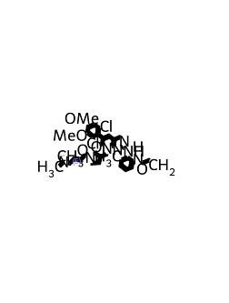 C=CC(=O)Nc1cccc(C)c1Nc1ncc2cc(-c3c(Cl)c(OC)cc(OC)c3Cl)c(=O)n(CC3CCN(C(=O)/C=C/CN(C)C)C3)c2n1